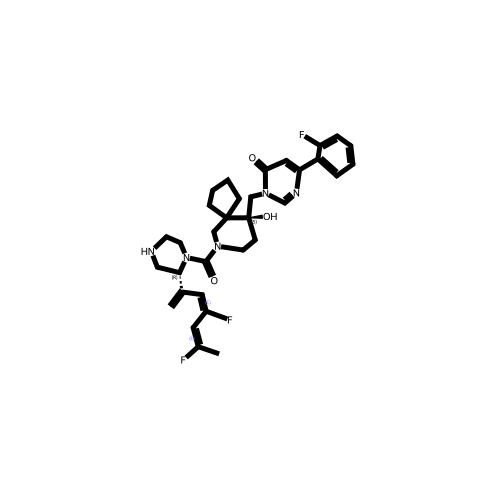 C=C(/C=C(F)\C=C(/C)F)[C@@H]1CNCCN1C(=O)N1CC[C@@](O)(Cn2cnc(-c3ccccc3F)cc2=O)C2(CCCC2)C1